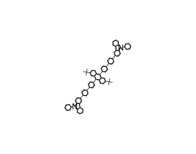 CC(C)(C)c1ccc2c(-c3ccc(-c4ccc(-c5ccc6c(c5)c5ccccc5n6-c5ccccc5)cc4)cc3)c3cc(C(C)(C)C)ccc3c(-c3ccc(-c4ccc(-c5ccc6c(c5)c5ccccc5n6-c5ccccc5)cc4)cc3)c2c1